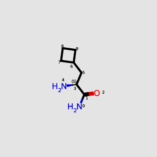 NC(=O)[C@@H](N)CC1CCC1